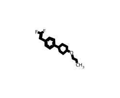 CCCOC1CCC(c2ccc(C=C(F)F)cc2)CC1